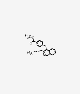 CCCCc1ncc2ccccc2c1Cc1ccc(C(=O)OC)cc1